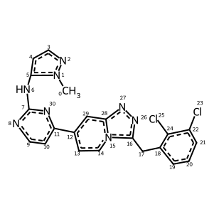 Cn1nccc1Nc1nccc(-c2ccn3c(Cc4cccc(Cl)c4Cl)nnc3c2)n1